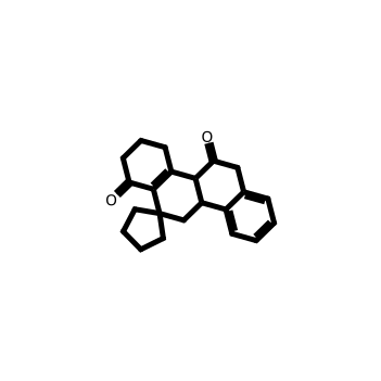 O=C1CCCC2=C1C1(CCCC1)CC1c3ccccc3CC(=O)C21